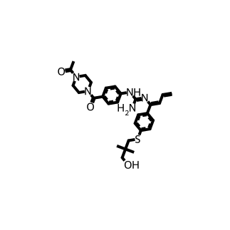 C=C/C=C(\N=C(/N)Nc1ccc(C(=O)N2CCN(C(C)=O)CC2)cc1)c1ccc(SCC(C)(C)CO)cc1